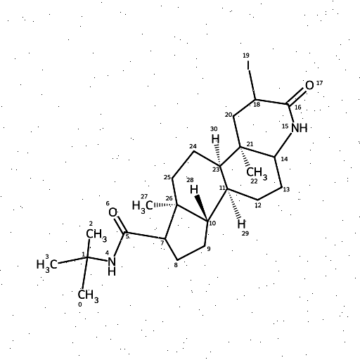 CC(C)(C)NC(=O)C1CC[C@H]2[C@@H]3CCC4NC(=O)C(I)C[C@]4(C)[C@@H]3CC[C@]12C